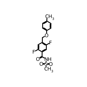 Cc1ccc(OCc2cc(F)c(C(=O)NS(C)(=O)=O)cc2F)cc1